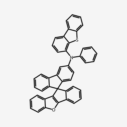 c1ccc(N(c2ccc3c(c2)-c2ccccc2C32c3ccccc3-c3oc4ccccc4c32)c2cccc3c2sc2ccccc23)cc1